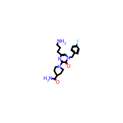 NCCCc1cn(Cc2ccc(F)cc2)c(=O)c(N2CCC(C(N)=O)CC2)n1